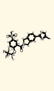 Cc1csc(-c2ccc3c(c2)CN(C(=O)c2cc(S(C)(=O)=O)ccc2O[C@@H](C)C(F)(F)F)C3)n1